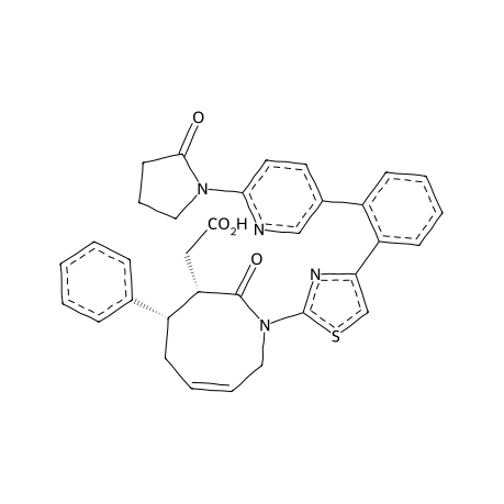 O=C(O)C[C@@H]1C(=O)N(c2nc(-c3ccccc3-c3ccc(N4CCCC4=O)nc3)cs2)C/C=C\C[C@@H]1c1ccccc1